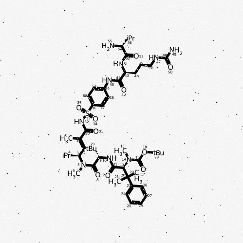 C/C(=C\[C@H](C(C)C)N(C)C(=O)[C@@H](NC(=O)[C@@H](N(C)C(=O)OC(C)(C)C)C(C)(C)c1ccccc1)C(C)(C)C)C(=O)NS(=O)(=O)c1ccc(NC(=O)[C@H](CCCNC(N)=O)NC(=O)[C@@H](N)C(C)C)cc1